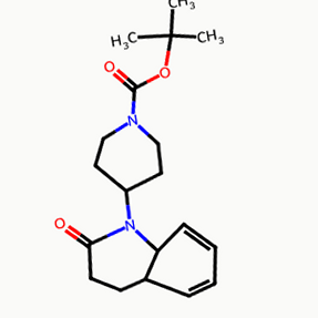 CC(C)(C)OC(=O)N1CCC(N2C(=O)CCC3C=CC=CC32)CC1